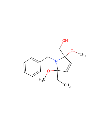 CCC1(OC)C=CC(CO)(OC)N1Cc1ccccc1